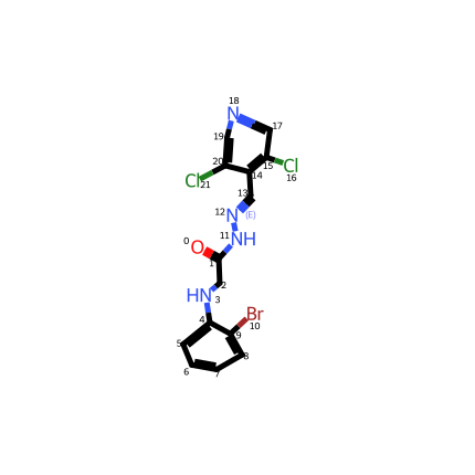 O=C(CNc1ccccc1Br)N/N=C/c1c(Cl)cncc1Cl